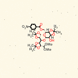 COC(OC)[C@@H]1OC(C)(C)O[C@H]1[C@H](O[C@@H]1O[C@H](COC(=O)c2ccc([N+](=O)[O-])cc2)[C@@H]2OC(C)(C)O[C@@H]2[C@H]1O)[C@H]1COC(C)(C)O1